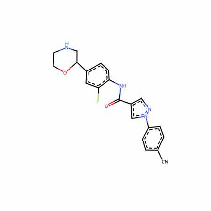 N#Cc1ccc(-n2cc(C(=O)Nc3ccc(C4CNCCO4)cc3F)cn2)cc1